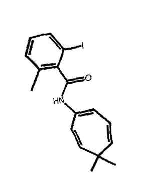 Cc1cccc(I)c1C(=O)NC1=CC=CC(C)(C)C=C1